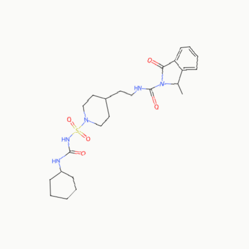 CC1c2ccccc2C(=O)N1C(=O)NCCC1CCN(S(=O)(=O)NC(=O)NC2CCCCC2)CC1